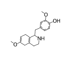 COC1=CCC2=C(CCNC2Cc2ccc(O)c(OC)c2)C1